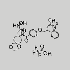 Cc1cc(COc2ccc(C(=O)N[C@]3(CC(=O)NO)CC[C@]4(CC3)COCCO4)cc2)c2ccccc2n1.O=C(O)C(F)(F)F